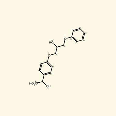 O=C(O)[C@H](O)c1ccc(OCC(O)COc2ccccc2)cc1